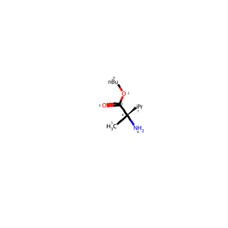 CCCCOC(=O)[C@@](C)(N)C(C)C